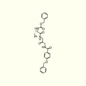 CC(C)C[C@H](NC(=O)OCc1ccccc1)C(=O)NCC(=O)CNC(=O)c1ccc(OCc2ccccc2)cc1